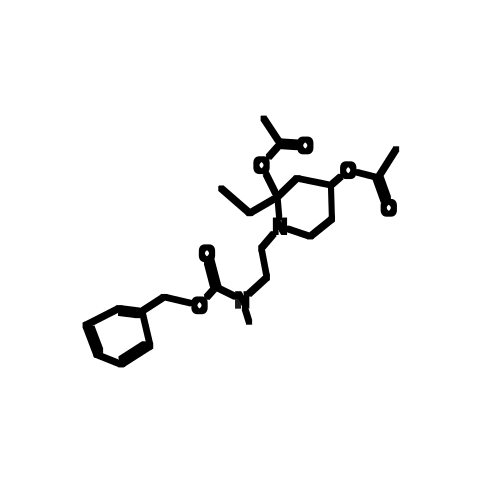 CCC1(OC(C)=O)CC(OC(C)=O)CCN1CCN(C)C(=O)OCc1ccccc1